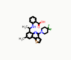 Cc1cc(C(C)Nc2ccccc2C(=O)O)c2nc(N3CCC(F)(F)CC3)c3ccsc3c2c1